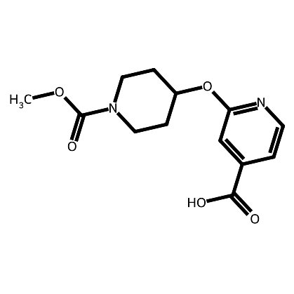 COC(=O)N1CCC(Oc2cc(C(=O)O)ccn2)CC1